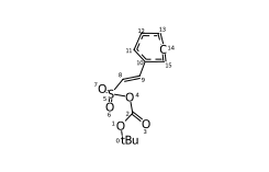 CC(C)(C)OC(=O)OS(=O)(=O)C=Cc1ccccc1